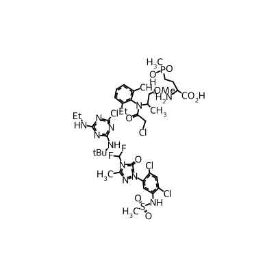 CCNc1nc(Cl)nc(NC(C)(C)C)n1.CCc1cccc(C)c1N(C(=O)CCl)C(C)COC.CP(=O)(O)CCC(N)C(=O)O.Cc1nn(-c2cc(NS(C)(=O)=O)c(Cl)cc2Cl)c(=O)n1C(F)F